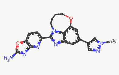 CCCn1cc(-c2cc3c4c(c2)nc(-c2ccc5oc(N)nc5n2)n4CCCO3)cn1